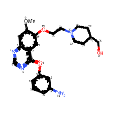 COc1cc2ncnc(Oc3cccc(N)c3)c2cc1OCCN1CCC(CO)CC1